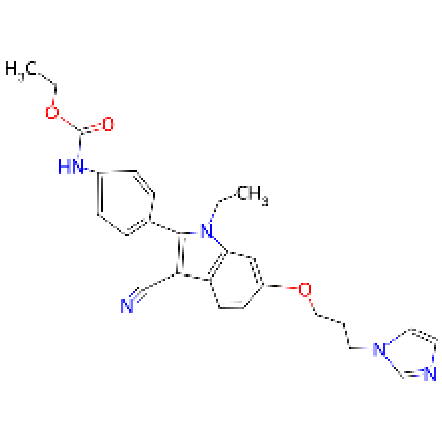 CCOC(=O)Nc1ccc(-c2c(C#N)c3ccc(OCCCn4ccnc4)cc3n2CC)cc1